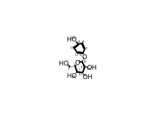 OC[C@@H]1O[C@H](Oc2ccc(O)cc2)[C@@H](O)[C@H](O)[C@H]1O